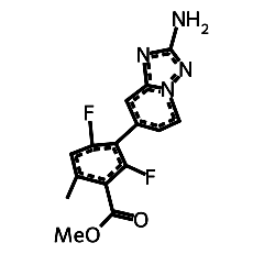 COC(=O)c1c(C)cc(F)c(-c2ccn3nc(N)nc3c2)c1F